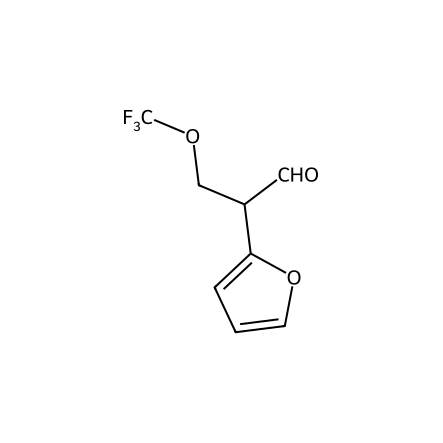 O=CC(COC(F)(F)F)c1ccco1